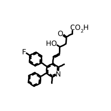 Cc1nc(C)c(-c2ccccc2)c(-c2ccc(F)cc2)c1C=CC(O)CC(=O)CC(=O)O